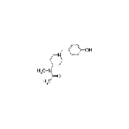 CC(=O)N(C)C1CCN(Cc2ccc(O)cc2)CC1